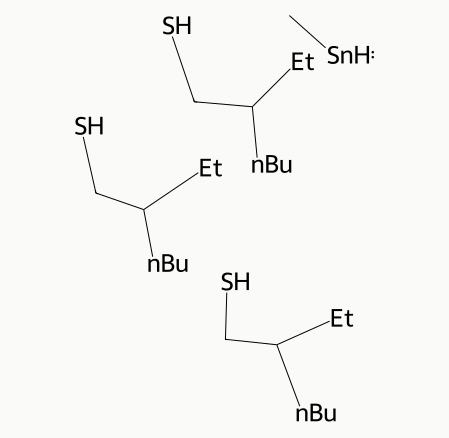 CCCCC(CC)CS.CCCCC(CC)CS.CCCCC(CC)CS.[CH3][SnH]